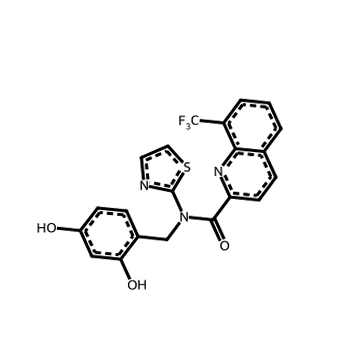 O=C(c1ccc2cccc(C(F)(F)F)c2n1)N(Cc1ccc(O)cc1O)c1nccs1